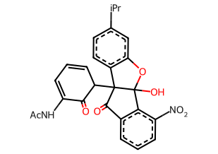 CC(=O)NC1=CC=CC(C23C(=O)c4cccc([N+](=O)[O-])c4C2(O)Oc2cc(C(C)C)ccc23)C1=O